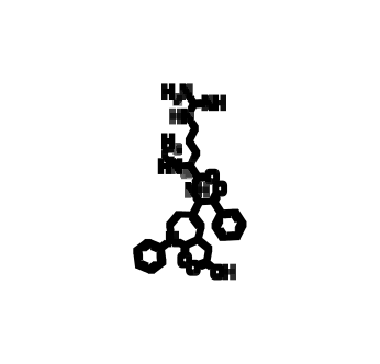 CN[C@@H](CCCNC(=N)N)C(=O)NC(C(=O)c1ccccc1)C1=CC(CC(=O)O)C(=O)N(c2ccccc2)CC1